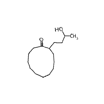 CC(O)CCC1CCCCCCCCCCC1=O